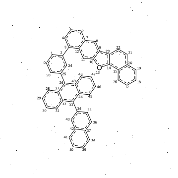 c1cc(-c2cccc3cc4c(cc23)oc2c3ccccc3ccc42)cc(-c2c3ccccc3c(-c3ccc4ccccc4c3)c3ccccc23)c1